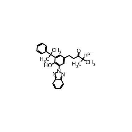 CCCC(C)(C)C(=O)CCc1cc(-n2nc3ccccc3n2)c(O)c(C(C)(C)c2ccccc2)c1